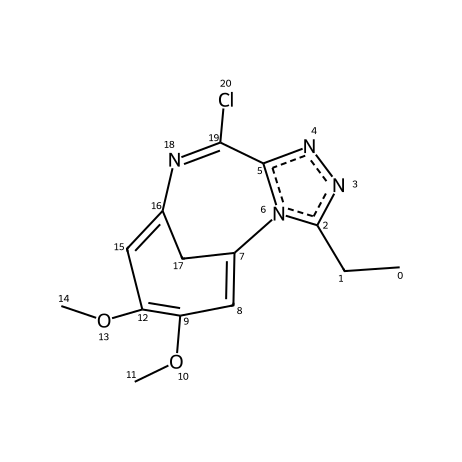 CCc1nnc2n1C1=CC(OC)=C(OC)C=C(C1)N=C2Cl